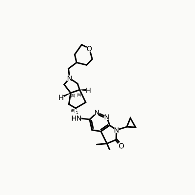 CC1(C)C(=O)N(C2CC2)c2nnc(N[C@@H]3C[C@@H]4CN(CC5CCOCC5)C[C@@H]4C3)cc21